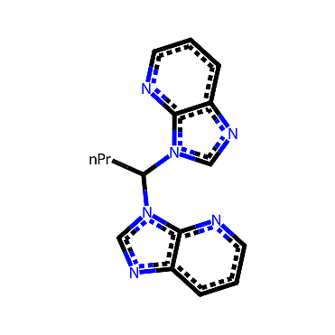 [CH2]CCC(n1cnc2cccnc21)n1cnc2cccnc21